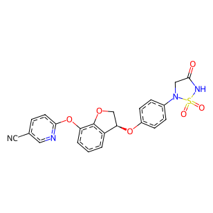 N#Cc1ccc(Oc2cccc3c2OC[C@H]3Oc2ccc(N3CC(=O)NS3(=O)=O)cc2)nc1